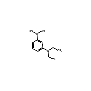 CCN(CC)c1cccc(B(O)O)n1